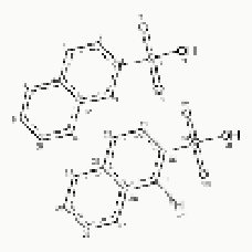 O=S(=O)(O)c1ccc2ccccc2c1.[2H]c1c(S(=O)(=O)O)ccc2ccccc12